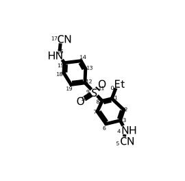 CCc1cc(NC#N)ccc1S(=O)(=O)c1ccc(NC#N)cc1